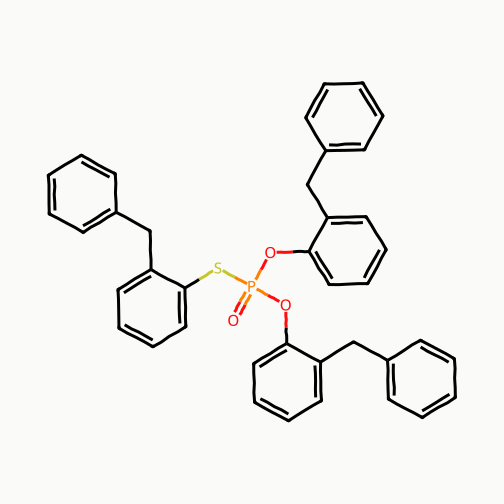 O=P(Oc1ccccc1Cc1ccccc1)(Oc1ccccc1Cc1ccccc1)Sc1ccccc1Cc1ccccc1